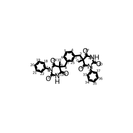 CC1(Cc2cccc(CC3(C)C(=O)NC(=O)N(c4ccccc4)C3=O)c2)C(=O)NC(=O)N(c2ccccc2)C1=O